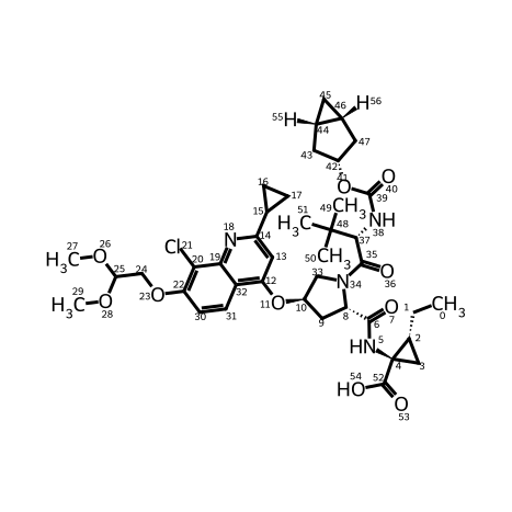 CC[C@@H]1C[C@]1(NC(=O)[C@@H]1C[C@@H](Oc2cc(C3CC3)nc3c(Cl)c(OCC(OC)OC)ccc23)CN1C(=O)[C@@H](NC(=O)O[C@@H]1C[C@@H]2C[C@@H]2C1)C(C)(C)C)C(=O)O